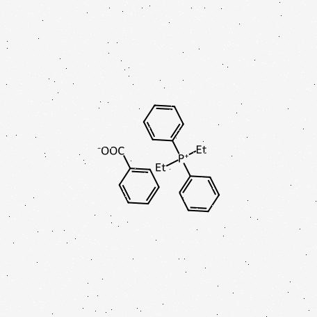 CC[P+](CC)(c1ccccc1)c1ccccc1.O=C([O-])c1ccccc1